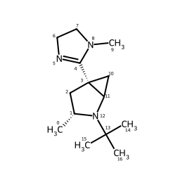 C[C@@H]1C[C@@]2(C3=NCCN3C)CC2N1C(C)(C)C